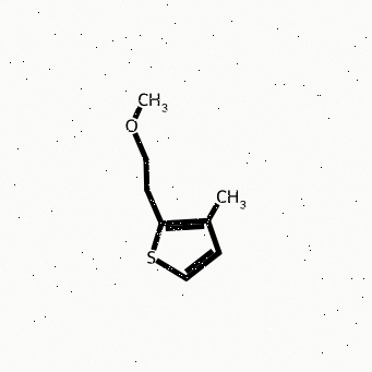 COCCc1sccc1C